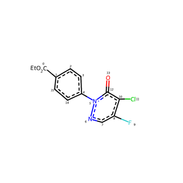 CCOC(=O)c1ccc(-n2ncc(F)c(Cl)c2=O)cc1